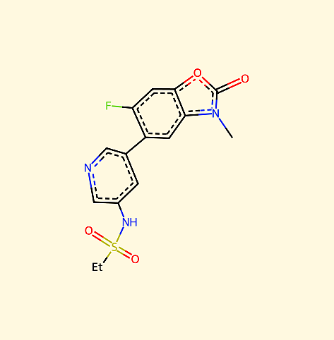 CCS(=O)(=O)Nc1cncc(-c2cc3c(cc2F)oc(=O)n3C)c1